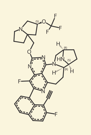 C#Cc1c(F)ccc2cccc(-c3nc4c5c(nc(OCC67CCCN6C[C@@H](OC(F)(F)F)C7)nc5c3F)N3C[C@H]5CC[C@H](N5)[C@H]3CC4)c12